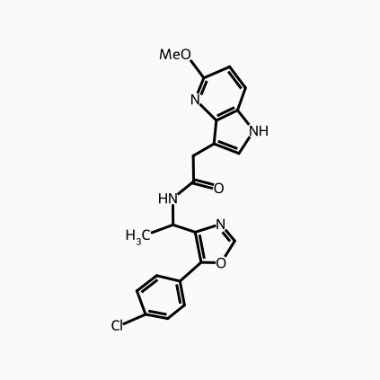 COc1ccc2[nH]cc(CC(=O)NC(C)c3ncoc3-c3ccc(Cl)cc3)c2n1